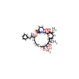 CC[C@H](Cc1ccccc1)[C@@H]1CCCCCC(=O)[C@@H](C)[C@H](O)[C@@H](C)[C@@H]2CC[C@@H](C)C(=O)C(O)(C2)C(=O)N2CCCC[C@H]2C(=O)O1